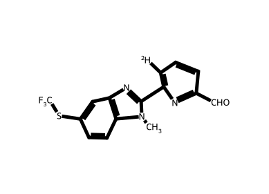 [2H]c1ccc(C=O)nc1-c1nc2cc(SC(F)(F)F)ccc2n1C